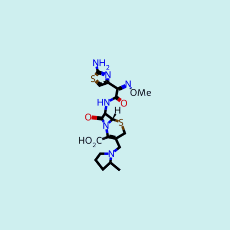 CO/N=C(\C(=O)NC1C(=O)N2C(C(=O)O)=C(CN3CCCC3C)CS[C@@H]12)c1csc(N)n1